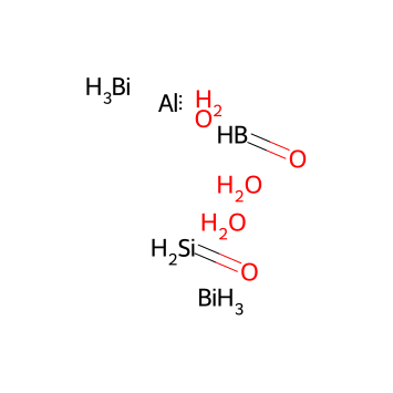 B=O.O.O.O.O=[SiH2].[Al].[BiH3].[BiH3]